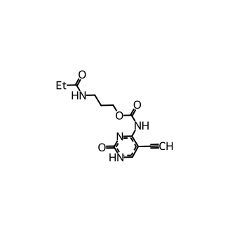 C#Cc1c[nH]c(=O)nc1NC(=O)OCCCNC(=O)CC